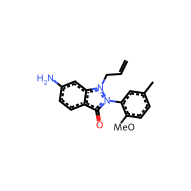 C=CCn1c2cc(N)ccc2c(=O)n1-c1cc(C)ccc1OC